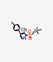 Cc1ccc(-c2ccnc(S(=O)(=O)CC[Si](C)(C)C)c2C#N)cc1